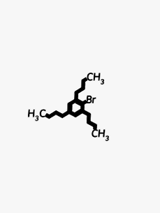 CCCCc1cc(CCCC)c(Br)c(CCCC)c1